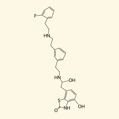 O=c1[nH]c2c(O)ccc(CC(O)NCCc3cccc(CCNCCc4ccccc4F)c3)c2s1